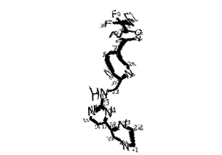 FC(F)(F)c1nc(-c2ccc(CNc3nccc(-c4cnccn4)n3)nc2)no1